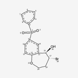 O=S(=O)(c1ccccc1)c1ccc2c(c1)[C@@H](O)[C@H](Br)CCO2